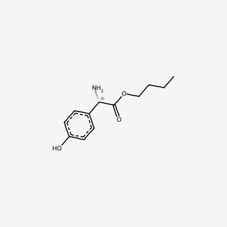 CCCCOC(=O)[C@@H](N)c1ccc(O)cc1